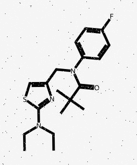 CCN(CC)c1nc(CN(C(=O)C(C)(C)C)c2ccc(F)cc2)cs1